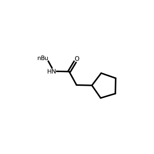 CCCCNC(=O)CC1CCCC1